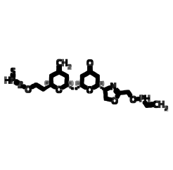 C=CPOCC1=NC([C@H]2CC(=O)C[C@@H](C[C@H]3CC(=C)C[C@H](CCOB=[PH]=S)O3)O2)CO1